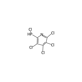 ClPc1nc(Cl)c(Cl)c(Cl)c1Cl